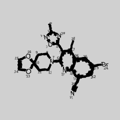 Cc1noc(-c2c(N3CCC4(CC3)OC=CO4)nc3c(C#N)cc(Br)cc3c2C)n1